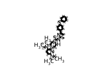 CCN(CC)c1ccc(N(CC)CC)c(N2CCN(C(=S)Nc3nc(-c4ccc(Sc5ccccc5)cc4)cs3)CC2)n1